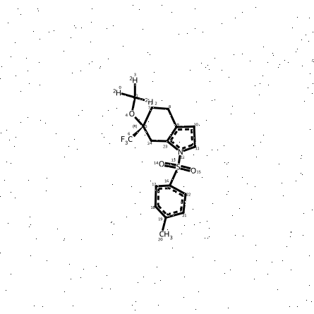 [2H]C([2H])([2H])O[C@]1(C(F)(F)F)CCc2ccn(S(=O)(=O)c3ccc(C)cc3)c2C1